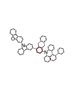 c1ccc(-c2ccccc2-c2ccccc2N(c2ccccc2)c2ccc(-c3ccc4c(c3)c3ccccc3n4-c3ccc4c(c3)oc3ccccc34)c3c2C2c4ccccc4C3c3ccccc32)cc1